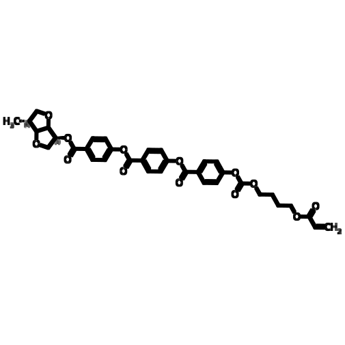 C=CC(=O)OCCCCOC(=O)Oc1ccc(C(=O)Oc2ccc(C(=O)Oc3ccc(C(=O)O[C@H]4COC5C4OC[C@H]5C)cc3)cc2)cc1